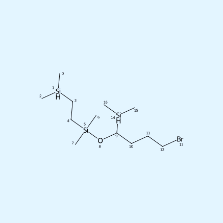 C[SiH](C)CC[Si](C)(C)OC(CCCBr)[SiH](C)C